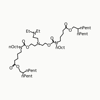 CCCCCCCCN(CCCCC(=O)OCC(CCCCC)CCCCC)C(=O)OCCN(CCOC(=O)N(CCCCCCCC)CCCCC(=O)OCC(CCCCC)CCCCC)CCN(CC)CC